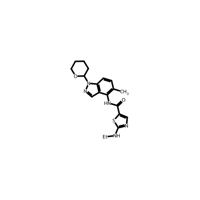 CCNc1ncc(C(=O)Nc2c(C)ccc3c2cnn3C2CCCCO2)s1